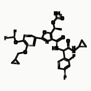 C[C@H](OC(N)=O)c1oc(-c2ccc(OC(F)F)c(OCC3CC3)c2)nc1C(=O)NC(C(=O)NC1CC1)c1ccc(F)cc1F